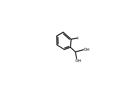 OC(O)c1ccccc1I